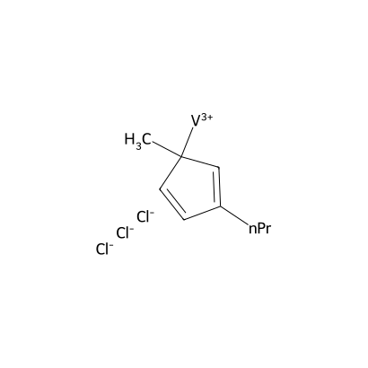 CCCC1=C[C](C)([V+3])C=C1.[Cl-].[Cl-].[Cl-]